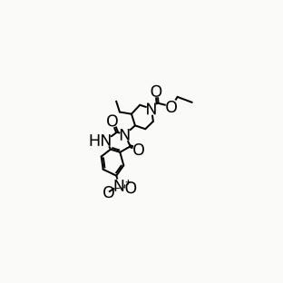 CCOC(=O)N1CCC(n2c(=O)[nH]c3ccc([N+](=O)[O-])cc3c2=O)C(CC)C1